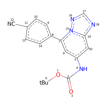 CC(C)(C)OC(=O)Nc1cc(-c2ccc(C#N)cc2)n2ncnc2c1